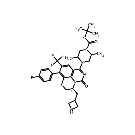 CC1CN(c2nc(=O)n3c4c(c(-c5ccc(F)cc5)c(C(F)(F)F)cc24)SC[C@@H]3CC2CNC2)C(C)CN1C(=O)OC(C)(C)C